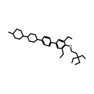 CCc1cc(-c2ccc(C3CCC(C4CCC(C)CC4)CC3)cc2)cc(CC)c1OCCC(CC)(CC)CC